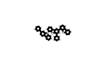 c1ccc(-c2ccc3c4ccccc4n(-c4cccc5c4oc4c(-c6ccccc6)cc(-c6cccc7c6oc6ccccc67)cc45)c3c2)cc1